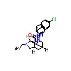 CC(C)CN1C[C@@H]2C[C@H]3CN[C@]2(C(=O)NCc2ccc(Cl)cc2)[C@@H]1[C@@H]3Cc1ccccc1